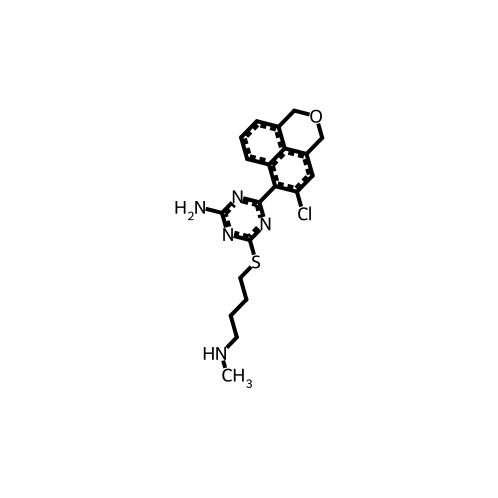 CNCCCCSc1nc(N)nc(-c2c(Cl)cc3c4c(cccc24)COC3)n1